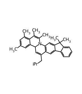 CC1=C(C)N2c3cc4c(cc3C(CC(C)C)=CC2c2cc(C)cc(C)c21)-c1ccccc1C4(C)C